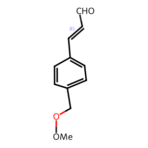 COOCc1ccc(/C=C/C=O)cc1